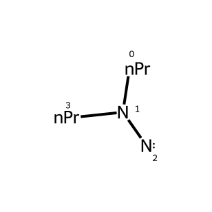 CCCN([N])CCC